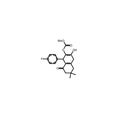 COC(=O)OC1=C(O)CC2=C(C(=O)CC(C)(C)C2)C1c1ccc(F)cc1